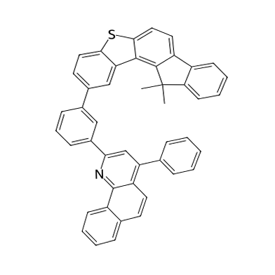 CC1(C)c2ccccc2-c2ccc3sc4ccc(-c5cccc(-c6cc(-c7ccccc7)c7ccc8ccccc8c7n6)c5)cc4c3c21